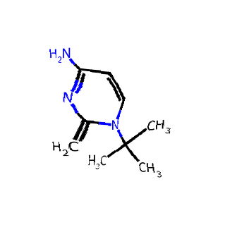 C=C1N=C(N)C=CN1C(C)(C)C